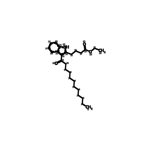 CCCCCCCCCCCC(=O)c1c(CCCC(=O)OCC)[nH]c2ccccc12